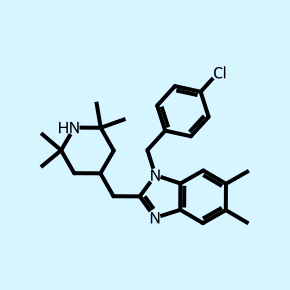 Cc1cc2nc(CC3CC(C)(C)NC(C)(C)C3)n(Cc3ccc(Cl)cc3)c2cc1C